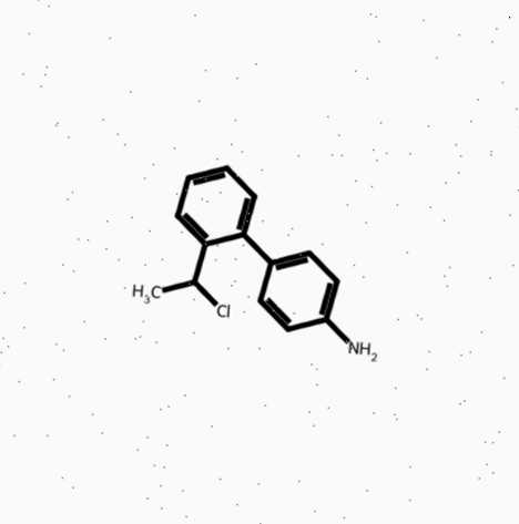 CC(Cl)c1ccccc1-c1ccc(N)cc1